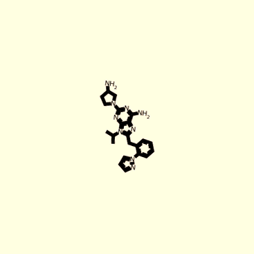 CC(C)n1c(Cc2ccccc2-n2cccn2)nc2c(N)nc(N3CCC(N)C3)nc21